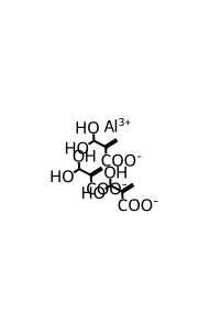 C=C(C(=O)[O-])C(O)O.C=C(C(=O)[O-])C(O)O.C=C(C(=O)[O-])C(O)O.[Al+3]